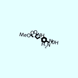 COC(=O)C[C@H]1C[C@@H](c2ccc(C(N)=NO)cc2)NC1=O